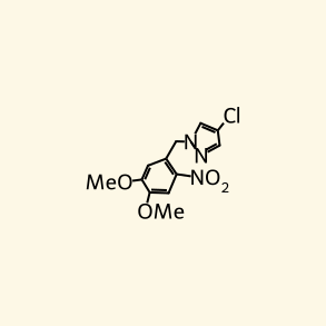 COc1cc(Cn2cc(Cl)cn2)c([N+](=O)[O-])cc1OC